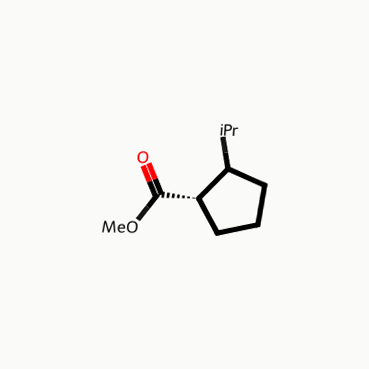 COC(=O)[C@H]1CCCC1C(C)C